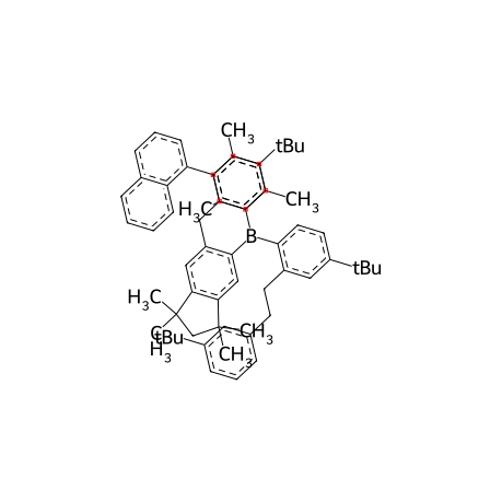 Cc1cc(C)c(B(c2ccc(C(C)(C)C)cc2CCc2cccc(C(C)(C)C)c2)c2cc3c(cc2Cc2ccc(C(C)(C)C)cc2-c2cccc4ccccc24)C(C)(C)CC3(C)C)c(C)c1